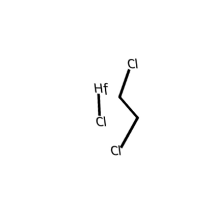 ClCCCl.[Cl][Hf]